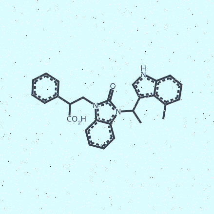 Cc1cccc2[nH]cc(C(C)n3c(=O)n(CC(C(=O)O)c4ccccc4)c4ccccc43)c12